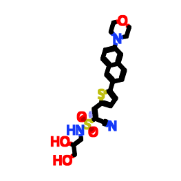 N#C/C(=C\c1ccc(-c2ccc3cc(N4CCOCC4)ccc3c2)s1)S(=O)(=O)NCC(O)CO